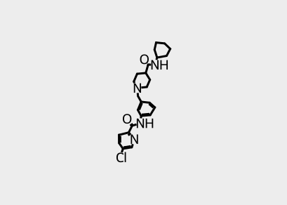 O=C(Nc1cccc(CN2CCC(C(=O)NC3CCCCC3)CC2)c1)c1ccc(Cl)cn1